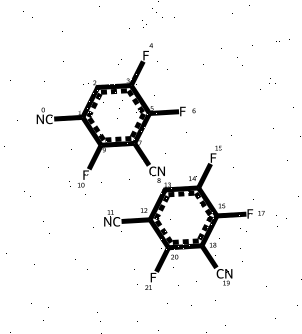 N#Cc1cc(F)c(F)c(C#N)c1F.N#Cc1cc(F)c(F)c(C#N)c1F